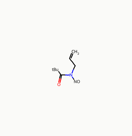 C=CCN(N=O)C(=O)C(C)(C)C